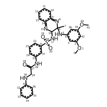 COc1cc(NC2(C)N=c3ccccc3=NC2NS(=O)(=O)c2cccc(NC(=O)CNc3ccccc3)c2)cc(OC)c1